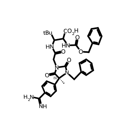 CC(C)(C)C(NC(=O)CN1C(=O)N(Cc2ccccc2)[C@@](C)(c2ccc(C(=N)N)cc2)C1=O)C(NC(=O)OCc1ccccc1)C(=O)O